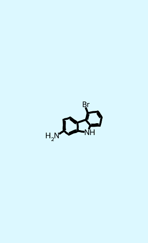 Nc1ccc2c(c1)[nH]c1cccc(Br)c12